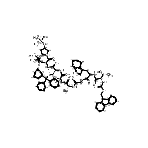 CC[C@H](C)[C@H](C)[C@H](NC(=O)OCC1c2ccccc2-c2ccccc21)C(=O)NC(Cc1c[nH]c2ccccc12)C(=O)NCC(=O)N[C@H](C(=O)N[C@H](C)C(=O)N[C@@H](CSC(c1ccccc1)(c1ccccc1)c1ccccc1)C(=O)N[C@@H](CC(N)=O)C(=O)N1C[C@H](O[Si](C)(C)C(C)(C)C)C[C@H]1C(=O)OC)[C@@H](C)CC